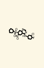 O=[N+]([O-])c1cc2c(Nc3ccc(F)c(Cl)c3)ncnc2cc1S(=O)(=O)c1ccccc1